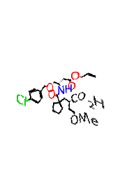 C=CCOC(=O)C[C@@H](COCc1ccc(Cl)cc1)NC(=O)C1(C[C@@H](CCOC)C(=O)O)CCCC1